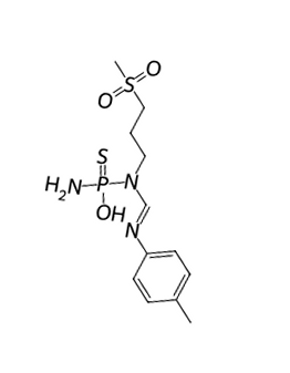 Cc1ccc(N=CN(CCCS(C)(=O)=O)P(N)(O)=S)cc1